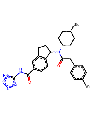 CC(C)c1ccc(CC(=O)N(C2CCc3cc(C(=O)Nc4nnn[nH]4)ccc32)[C@H]2CC[C@H](C(C)(C)C)CC2)cc1